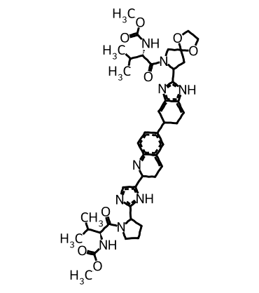 COC(=O)N[C@H](C(=O)N1CCCC1c1ncc(C2CC=c3cc(C4C=c5nc(C6CC7(CN6C(=O)[C@@H](NC(=O)OC)C(C)C)OCCO7)[nH]c5=CC4)ccc3=N2)[nH]1)C(C)C